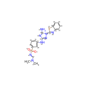 CN(C)/C=N/S(=O)(=O)c1cccc(Nc2nc(N)n(-c3nc4ccccc4s3)n2)c1